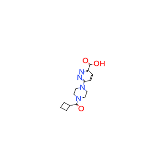 O=C(O)c1ccc(N2CCN(C(=O)C3CCC3)CC2)nn1